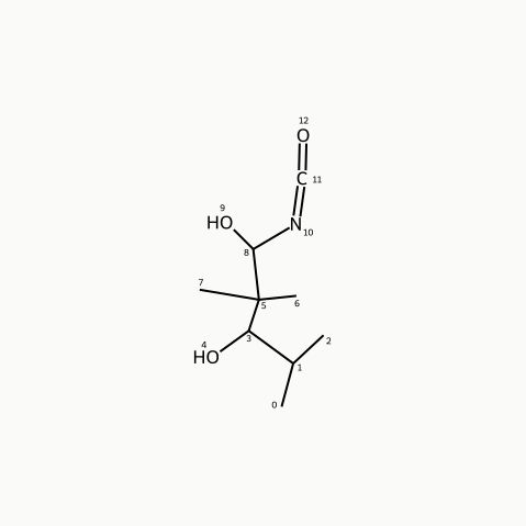 CC(C)C(O)C(C)(C)C(O)N=C=O